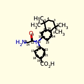 CC1(C)CCC(C)(C)c2cc(N(C(=O)CN)c3ccc(C(=O)O)cc3)ccc21